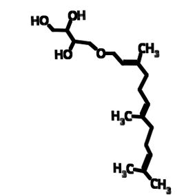 CC(C)=CCC/C(C)=C/CCC(C)=CCOCC(O)C(O)CO